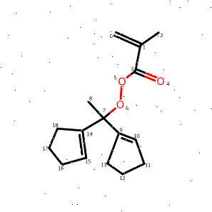 C=C(C)C(=O)OOC(C)(C1=CCCC1)C1=CCCC1